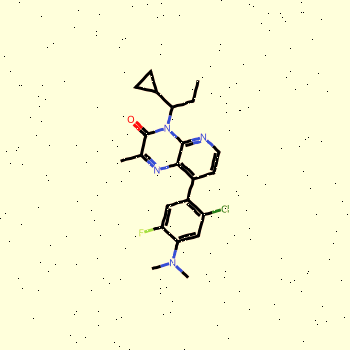 CCC(C1CC1)n1c(=O)c(C)nc2c(-c3cc(F)c(N(C)C)cc3Cl)ccnc21